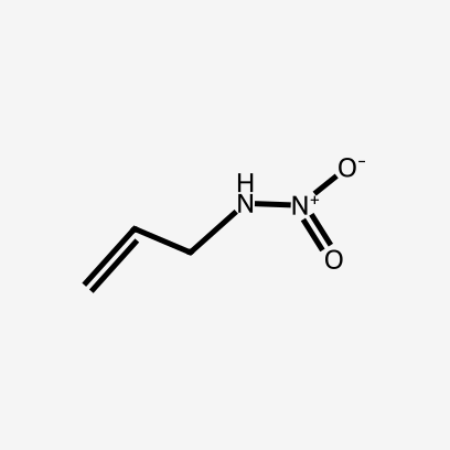 C=CCN[N+](=O)[O-]